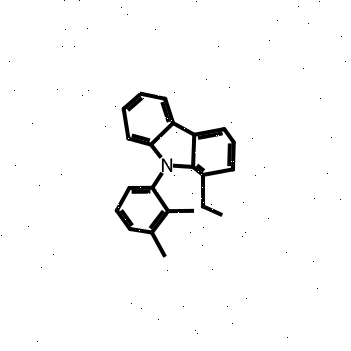 CCc1cccc2c3ccccc3n(-c3cccc(C)c3C)c12